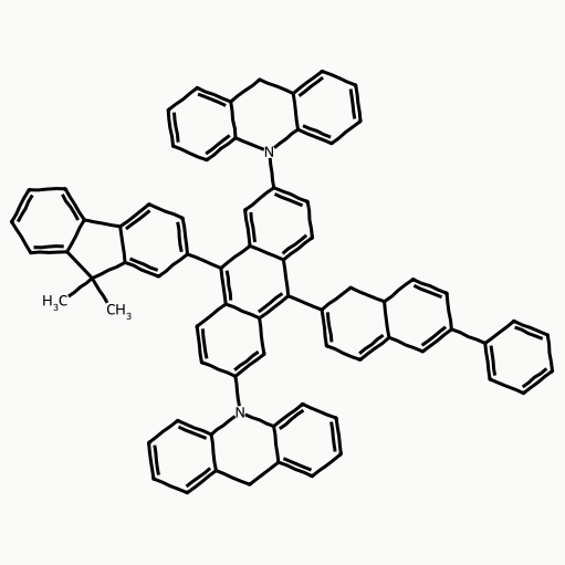 CC1(C)c2ccccc2-c2ccc(-c3c4ccc(N5c6ccccc6Cc6ccccc65)cc4c(C4=CC=C5C=C(c6ccccc6)C=CC5C4)c4ccc(N5c6ccccc6Cc6ccccc65)cc34)cc21